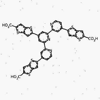 O=C(O)c1cc2sc(-c3ccnc(-c4cc(-c5cc6sc(C(=O)O)cc6s5)cc(-c5cc(-c6cc7sc(C(=O)O)cc7s6)ccn5)n4)c3)cc2s1